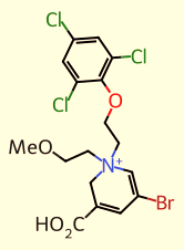 COCC[N+]1(CCOc2c(Cl)cc(Cl)cc2Cl)C=C(Br)C=C(C(=O)O)C1